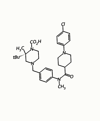 CN(C(=O)C1CCN(c2ccc(Cl)cc2)CC1)c1ccc(CN2CCN(C(=O)O)[C@@](C)(C(C)(C)C)C2)cc1